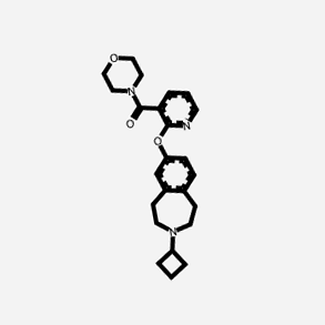 O=C(c1cccnc1Oc1ccc2c(c1)CCN(C1CCC1)CC2)N1CCOCC1